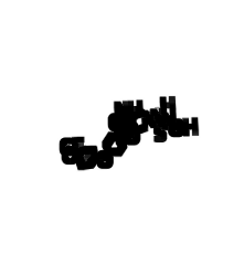 CN(C(=S)NO)N1CCC(C(N)=O)(S(=O)(=O)c2ccc(Oc3ccc(OC(F)(F)F)cc3)cc2)CC1